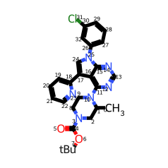 CC1CN(C(=O)OC(C)(C)C)CCN1c1ncnc2c1c(-c1ccccn1)cn2-c1cccc(Cl)c1